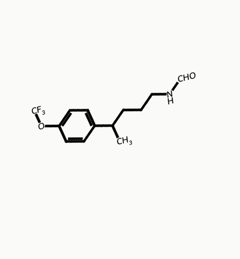 CC(CCCNC=O)c1ccc(OC(F)(F)F)cc1